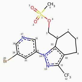 CS(=O)(=O)OCC1CCCc2c(C(F)(F)F)nn(-c3cncc(Br)c3)c21